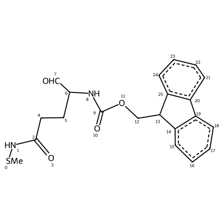 CSNC(=O)CCC(C=O)NC(=O)OCC1c2ccccc2-c2ccccc21